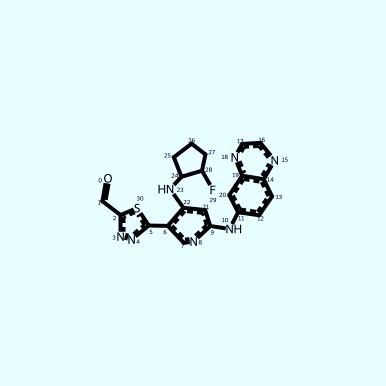 O=Cc1nnc(-c2cnc(Nc3ccc4nccnc4c3)cc2NC2CCCC2F)s1